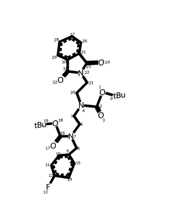 CC(C)(C)OC(=O)N(CCN(Cc1ccc(F)cc1)C(=O)OC(C)(C)C)CCN1C(=O)c2ccccc2C1=O